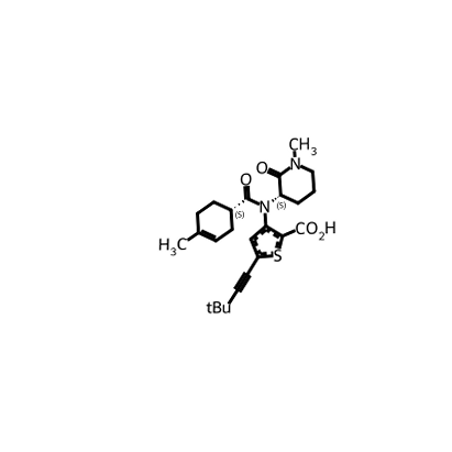 CC1=CC[C@@H](C(=O)N(c2cc(C#CC(C)(C)C)sc2C(=O)O)[C@H]2CCCN(C)C2=O)CC1